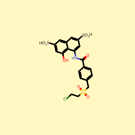 O=C(Nc1cc(S(=O)(=O)O)cc2cc(S(=O)(=O)O)cc(O)c12)c1ccc(CS(=O)(=O)CCCl)cc1